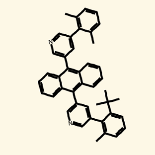 Cc1cccc(C)c1-c1cncc(-c2c3ccccc3c(-c3cncc(-c4c(C)cccc4C(C)(C)C)c3)c3ccccc23)c1